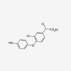 CCOC(=O)C(Cl)c1ccc(Oc2ccc(O)cc2)c(Cl)c1